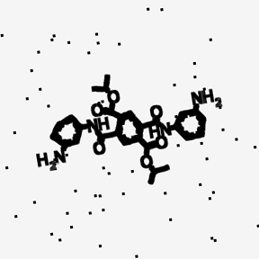 CC(C)OC(=O)c1cc(C(=O)Nc2cccc(N)c2)c(C(=O)OC(C)C)cc1C(=O)Nc1cccc(N)c1